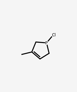 CC1=CCP(Cl)C1